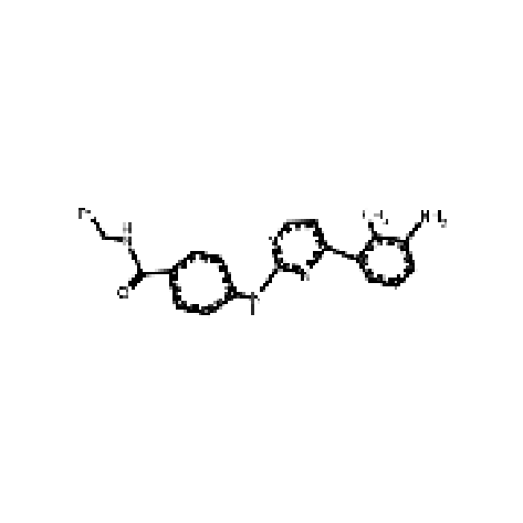 Cc1c(N)cccc1-c1ccnc(Nc2ccc(C(=O)NCC(C)C)cc2)n1